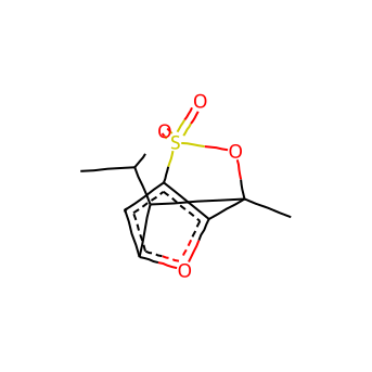 CC(C)C1c2cc3c(o2)C1(C)OS3(=O)=O